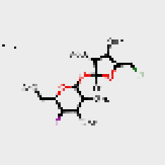 CCC1(OC2OC(COC(C)=O)C(I)C(OC(C)=O)C2OC(C)=O)OC(CCl)C(OC(C)=O)C1OC(C)=O